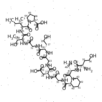 CC[C@H](C)[C@H](NC(=O)[C@@H](NC(=O)CNC(=O)[C@H](CCO)NC(=O)CNC(=O)[C@H](CC(=O)O)NC(=O)CNC(=O)[C@@H]1CCCCN1C(=O)[C@H](CN)NC(=O)[C@@H](N)CCO)[C@@H](C)O)C(=O)N1CCC[C@H]1C(=O)O